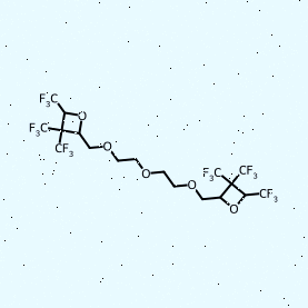 FC(F)(F)C1OC(COCCOCCOCC2OC(C(F)(F)F)C2(C(F)(F)F)C(F)(F)F)C1(C(F)(F)F)C(F)(F)F